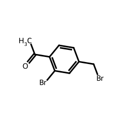 CC(=O)c1ccc(CBr)cc1Br